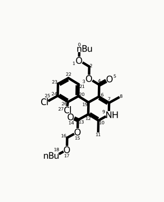 CCCCOCOC(=O)C1=C(C)NC(C)=C(C(=O)OCOCCCC)C1c1cccc(Cl)c1Cl